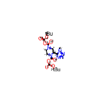 Cn1nnnc1C1CN(C(=O)OC(=O)OC(C)(C)C)CCN1C(=O)OC(=O)OC(C)(C)C